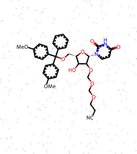 COc1ccc(C(OC[C@@H]2O[C@H](n3ccc(=O)[nH]c3=O)C(OCOCOCCC#N)C2O)(c2ccccc2)c2ccc(OC)cc2)cc1